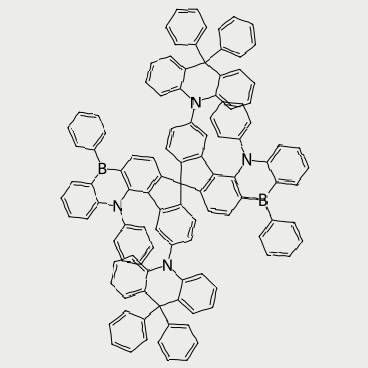 c1ccc(B2c3ccccc3N(c3ccccc3)c3c2ccc2c3-c3cc(N4c5ccccc5C(c5ccccc5)(c5ccccc5)c5ccccc54)ccc3C23c2ccc(N4c5ccccc5C(c5ccccc5)(c5ccccc5)c5ccccc54)cc2-c2c3ccc3c2N(c2ccccc2)c2ccccc2B3c2ccccc2)cc1